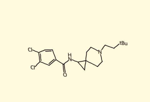 CC(C)(C)CCN1CCC2(CC1)CC2NC(=O)c1ccc(Cl)c(Cl)c1